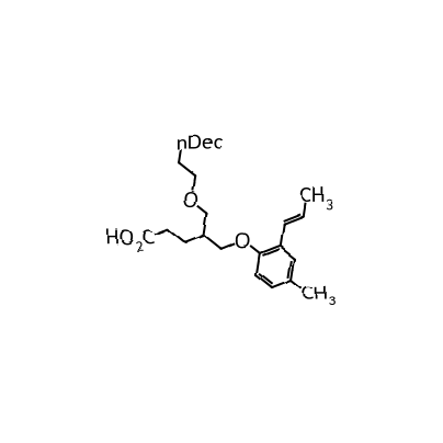 CC=Cc1cc(C)ccc1OCC(CCC(=O)O)COCCCCCCCCCCCC